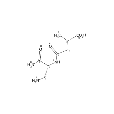 CC(CC(=O)N[C@H](CN)C(N)=O)C(=O)O